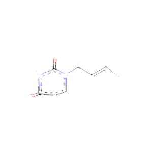 N/C=C/Cn1ccc(=O)[nH]c1=O